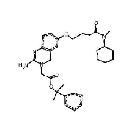 CN(C(=O)CCCOc1ccc2c(c1)CN(CC(=O)OC(C)(C)c1ccccc1)C(N)=N2)C1CCCCC1